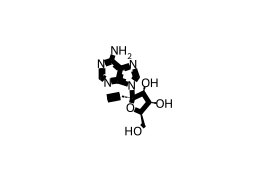 C#C[C@@]1(n2cnc3c(N)ncnc32)O[C@H](CO)[C@@H](O)[C@H]1O